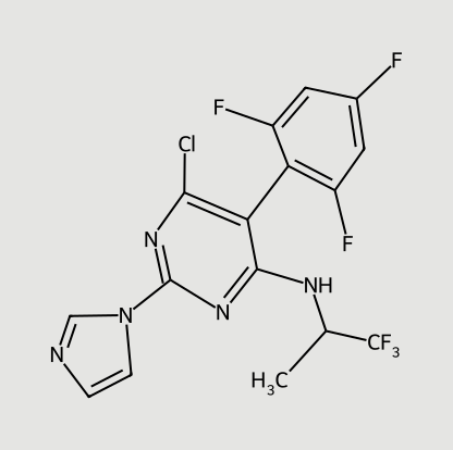 CC(Nc1nc(-n2ccnc2)nc(Cl)c1-c1c(F)cc(F)cc1F)C(F)(F)F